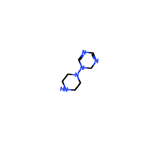 C1=NC=NCN1N1CCNCC1